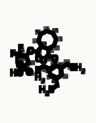 BCc1cc(CB)c(OC(=O)C2CCCCCCC2C(=O)OC(CS(=O)(=O)O)C(F)(F)F)c(CB)c1